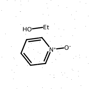 CCO.[O-][n+]1ccccc1